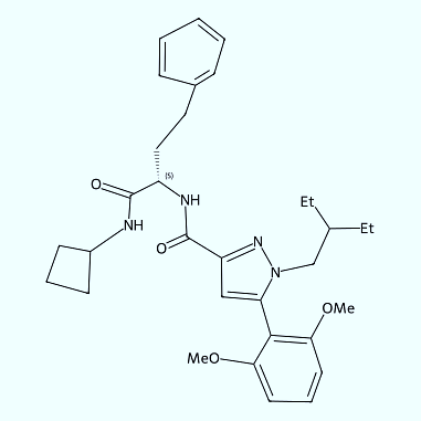 CCC(CC)Cn1nc(C(=O)N[C@@H](CCc2ccccc2)C(=O)NC2CCC2)cc1-c1c(OC)cccc1OC